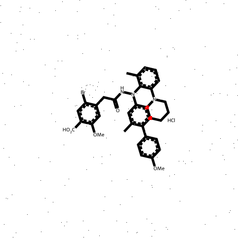 COc1ccc(-c2ccc(N(NC(=O)Cc3cc(OC)c(C(=O)O)cc3Br)c3c(C)cccc3N3CCCCC3)cc2C)cc1.Cl